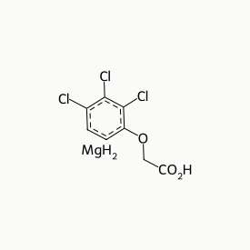 O=C(O)COc1ccc(Cl)c(Cl)c1Cl.[MgH2]